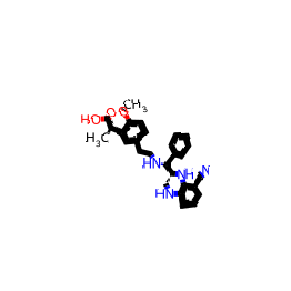 COc1ccc(CCN[C@H](c2ccccc2)[C@H]2CNc3cccc(C#N)c3N2)cc1[C@@H](C)C(=O)O